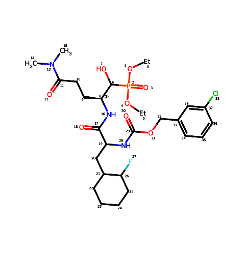 CCOP(=O)(OCC)C(O)[C@H](CCC(=O)N(C)C)NC(=O)C(CC1CCCCC1F)NC(=O)OCc1cccc(Cl)c1